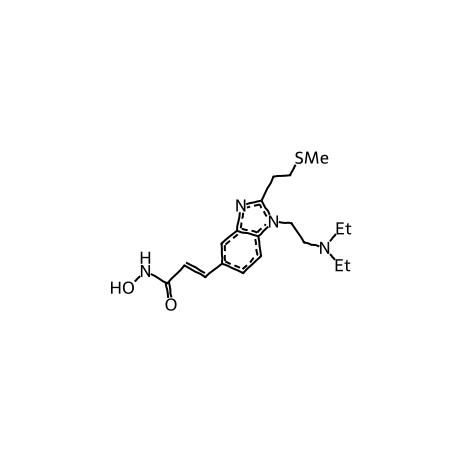 CCN(CC)CCn1c(CCSC)nc2cc(C=CC(=O)NO)ccc21